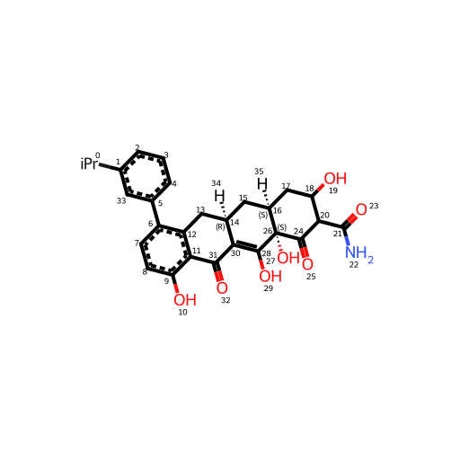 CC(C)c1cccc(-c2ccc(O)c3c2C[C@H]2C[C@H]4CC(O)C(C(N)=O)C(=O)[C@@]4(O)C(O)=C2C3=O)c1